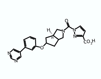 O=C(O)c1ccn(C(=O)N2CC3CC(Oc4cccc(-c5cncnc5)c4)C[C@H]3C2)n1